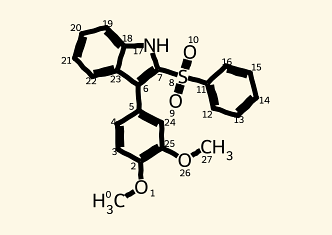 COc1ccc(-c2c(S(=O)(=O)c3ccccc3)[nH]c3ccccc23)cc1OC